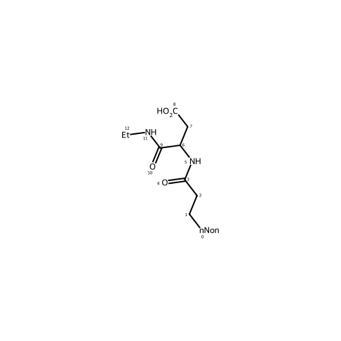 CCCCCCCCCCCC(=O)NC(CC(=O)O)C(=O)NCC